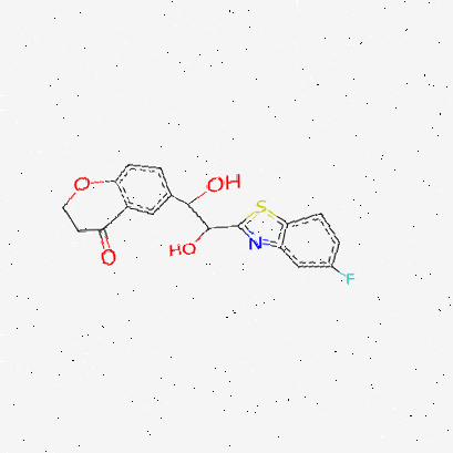 O=C1CCOc2ccc(C(O)C(O)c3nc4cc(F)ccc4s3)cc21